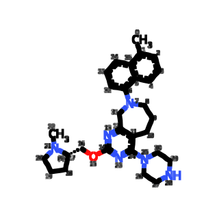 Cc1cccc2c(N3CCCc4c(nc(OC[C@@H]5CCCN5C)nc4N4CCNCC4)C3)cccc12